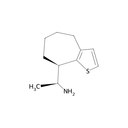 C[C@H](N)[C@H]1CCCCc2ccsc21